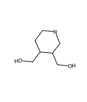 OC[C]1CC[N]CC1CO